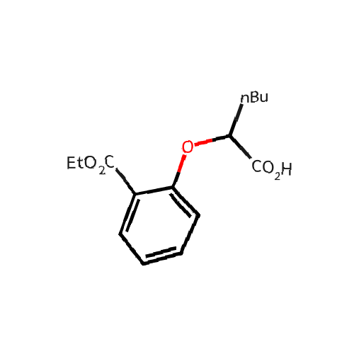 CCCCC(Oc1ccccc1C(=O)OCC)C(=O)O